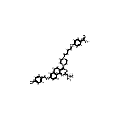 Cl.Cl.Nc1nc2c(c(N3CCN(CCCCOc4ccc(C(=O)O)cc4)CC3)n1)CCc1cc(OCc3ccc(Cl)cc3)ccc1-2